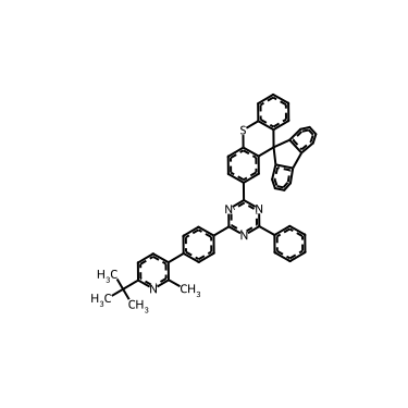 Cc1nc(C(C)(C)C)ccc1-c1ccc(-c2nc(-c3ccccc3)nc(-c3ccc4c(c3)C3(c5ccccc5S4)c4ccccc4-c4ccccc43)n2)cc1